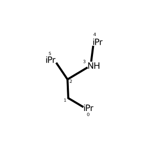 CC(C)CC(NC(C)C)C(C)C